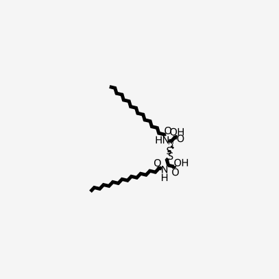 CCCCCCCCCCCCCCCC(=O)NC(CSSC[C@H](NC(=O)CCCCCCCCCCCCCCC)C(=O)O)C(=O)O